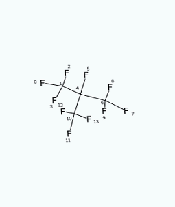 FC(F)(F)C(F)(C(F)(F)F)C(F)(F)F